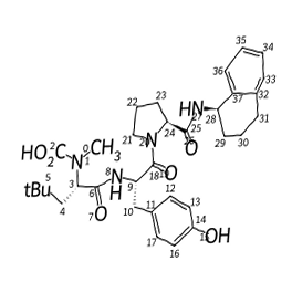 CN(C(=O)O)[C@@H](CC(C)(C)C)C(=O)N[C@@H](Cc1ccc(O)cc1)C(=O)N1CCC[C@H]1C(=O)N[C@@H]1CCCc2ccccc21